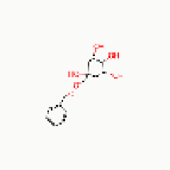 OC1CC(O)(COOCc2ccccc2)CC(O)C1O